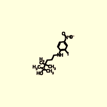 CC(C)(CCCNc1ccc([N+](=O)[O-])cc1I)[Si](C)(C)O